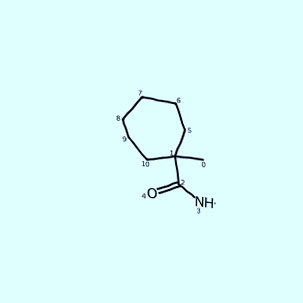 CC1(C([NH])=O)CCCCCC1